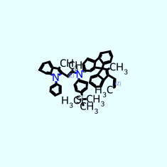 C/C=C\C1=C(C)C2(c3ccccc31)c1ccccc1-c1ccc(N(/C(C)=C/c3c(C)c4ccccc4n3-c3ccccc3)c3ccc([Si](C)(C)C)cc3)cc12